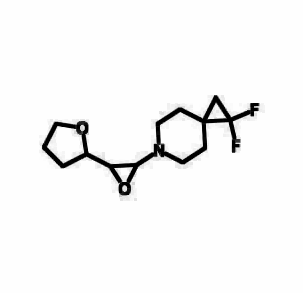 FC1(F)CC12CCN(C1OC1C1CCCO1)CC2